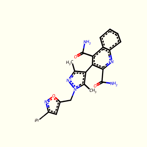 Cc1nn(Cc2cc(C(C)C)no2)c(C)c1-c1c(C(N)=O)nc2ccccc2c1C(N)=O